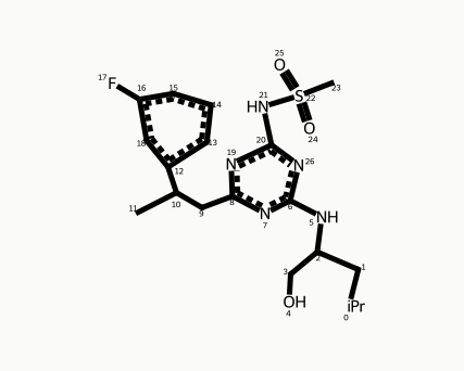 CC(C)CC(CO)Nc1nc(CC(C)c2cccc(F)c2)nc(NS(C)(=O)=O)n1